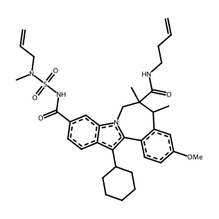 C=CCCNC(=O)C1(C)Cn2c(c(C3CCCCC3)c3ccc(C(=O)NS(=O)(=O)N(C)CC=C)cc32)-c2ccc(OC)cc2C1C